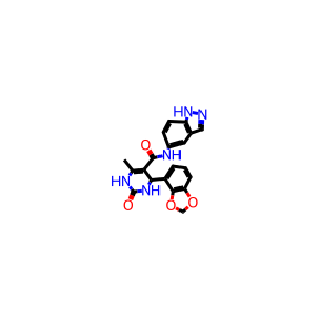 CC1=C(C(=O)Nc2ccc3[nH]ncc3c2)C(c2cccc3c2OCO3)NC(=O)N1